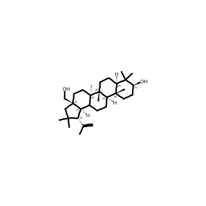 C=C(C)[C@H]1[C@@H]2C3CC[C@@H]4[C@@]5(C)CC[C@H](O)C(C)(C)[C@@H]5CC[C@@]4(C)[C@]3(C)CC[C@@]2(CO)CC1(C)C